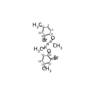 Cc1ccc(O[C@H](C)C[C@H](C)Oc2ccc(C)cc2Br)c(Br)c1